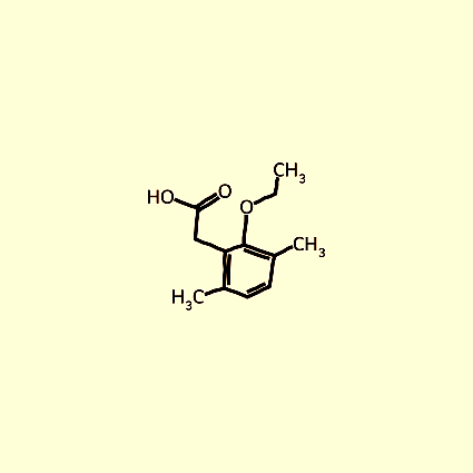 CCOc1c(C)ccc(C)c1CC(=O)O